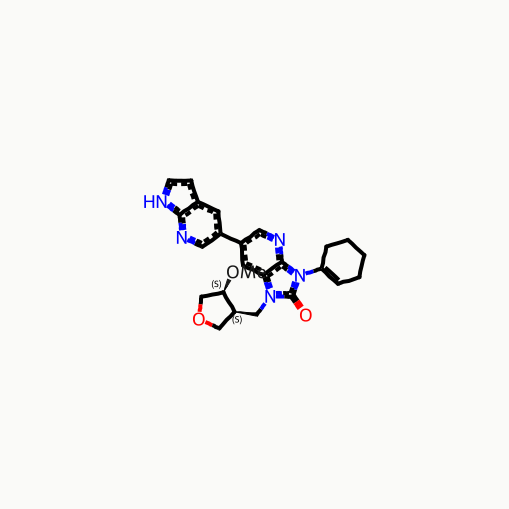 CO[C@@H]1COC[C@@H]1Cn1c(=O)n(C2=CCCCC2)c2ncc(-c3cnc4[nH]ccc4c3)cc21